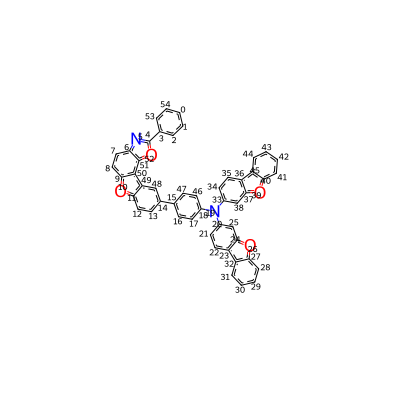 c1ccc(-c2nc3ccc4oc5ccc(-c6ccc(N(c7ccc8c(c7)oc7ccccc78)c7ccc8c(c7)oc7ccccc78)cc6)cc5c4c3o2)cc1